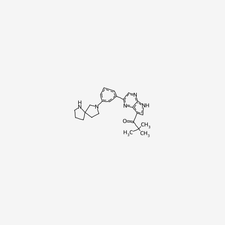 CC(C)(C)C(=O)c1c[nH]c2ncc(-c3cccc(N4CCC5(CCCN5)C4)c3)nc12